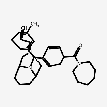 C=CCN1CCC2CCCC(C1)N2C(C1=CCC(C(=O)N2CCCCCC2)C=C1)C1=CC(C)=CCC1